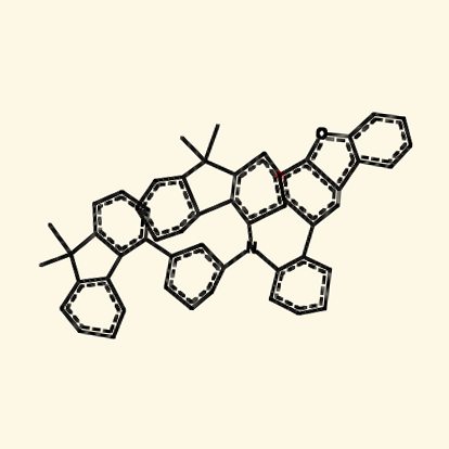 CC1(C)c2ccccc2-c2c(-c3cccc(N(c4ccccc4-c4ccc5oc6ccccc6c5c4)c4cccc5c4-c4ccccc4C5(C)C)c3)cccc21